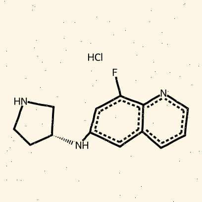 Cl.Fc1cc(N[C@@H]2CCNC2)cc2cccnc12